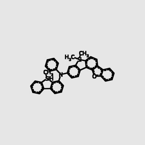 C[SiH]1c2ccccc2-c2cccc(N(c3ccccc3)c3ccc4c(c3)[Si](C)(C)c3ccc5c(oc6ccccc65)c3-4)c21